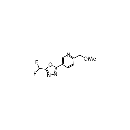 COCc1ccc(-c2nnc(C(F)F)o2)cn1